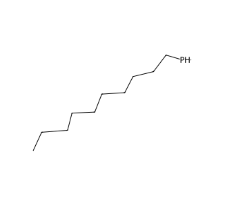 CCCCCCCCCC[PH]